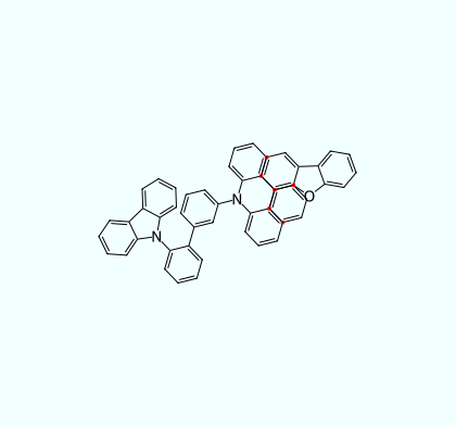 c1ccc(-c2ccccc2N(c2cccc(-c3ccccc3-n3c4ccccc4c4ccccc43)c2)c2ccccc2-c2cccc3c2oc2ccccc23)cc1